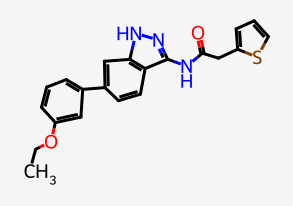 CCOc1cccc(-c2ccc3c(NC(=O)Cc4cccs4)n[nH]c3c2)c1